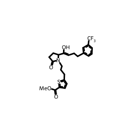 COC(=O)c1ccc(CCCN2C(=O)CCC2/C(O)=C/CCc2cccc(C(F)(F)F)c2)s1